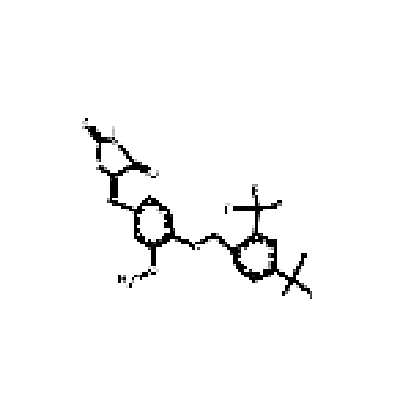 COc1cc(C=C2SC(=S)NC2=O)ccc1OCc1ccc(C(F)(F)F)cc1C(F)(F)F